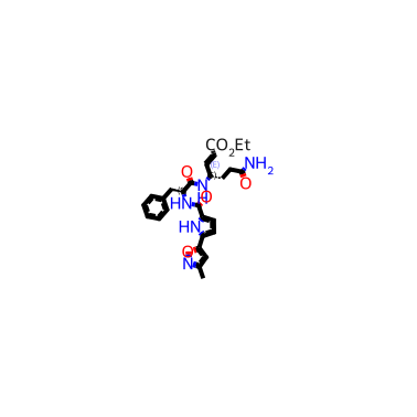 CCOC(=O)/C=C/[C@H](CCC(N)=O)NC(=O)[C@H](Cc1ccccc1)NC(=O)c1ccc(-c2cc(C)no2)[nH]1